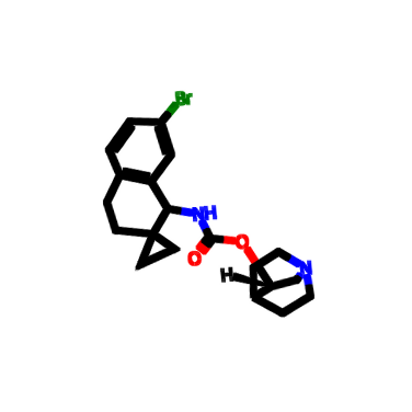 O=C(NC1c2cc(Br)ccc2CCC12CC2)O[C@@H]1CN2CCC1CC2